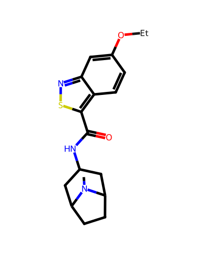 CCOc1ccc2c(C(=O)NC3CC4CCC(C3)N4C)snc2c1